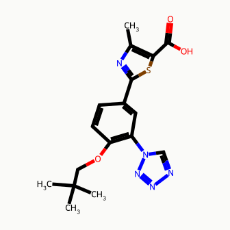 Cc1nc(-c2ccc(OCC(C)(C)C)c(-n3cnnn3)c2)sc1C(=O)O